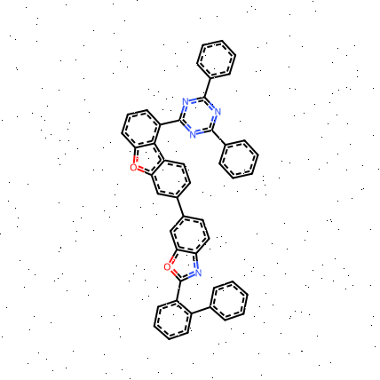 c1ccc(-c2nc(-c3ccccc3)nc(-c3cccc4oc5cc(-c6ccc7nc(-c8ccccc8-c8ccccc8)oc7c6)ccc5c34)n2)cc1